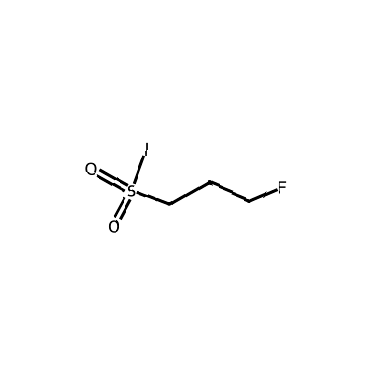 O=S(=O)(I)CCCF